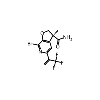 C=C(c1cc2c(c(Br)n1)OC[C@]2(C)C(N)=O)C(F)(F)F